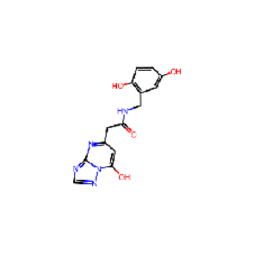 O=C(Cc1cc(O)n2ncnc2n1)NCc1cc(O)ccc1O